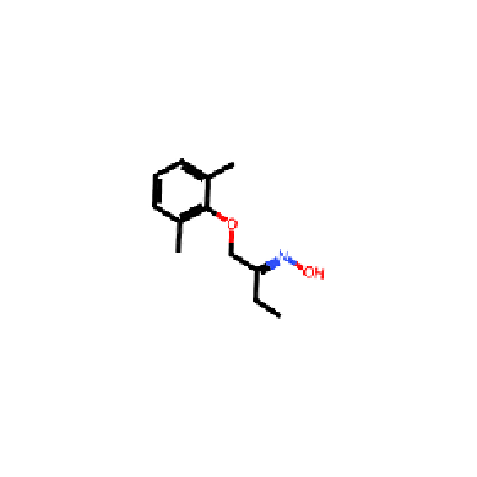 CCC(COc1c(C)cccc1C)=NO